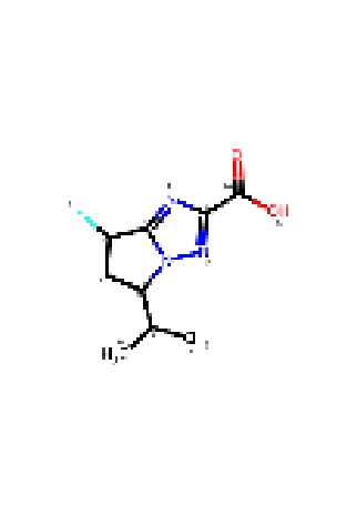 CC(C)C1CC(F)c2nc(C(=O)O)nn21